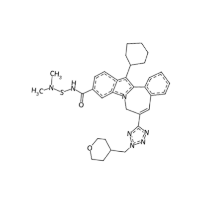 CN(C)SNC(=O)c1ccc2c(C3CCCCC3)c3n(c2c1)CC(c1nnn(CC2CCOCC2)n1)=Cc1ccccc1-3